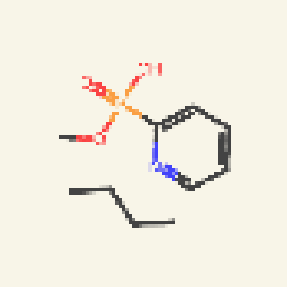 CCCC.COP(=O)(O)c1ccccn1